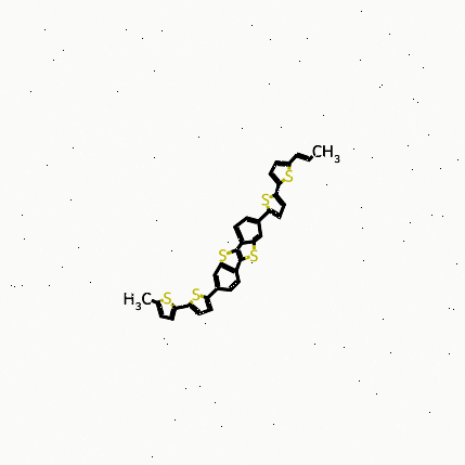 CC=Cc1ccc(-c2ccc(-c3ccc4c(c3)sc3c5ccc(-c6ccc(-c7ccc(C)s7)s6)cc5sc43)s2)s1